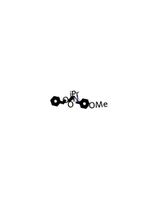 COc1ccc(/C=N/[C@H](C(=O)OCc2ccccc2)C(C)C)cc1